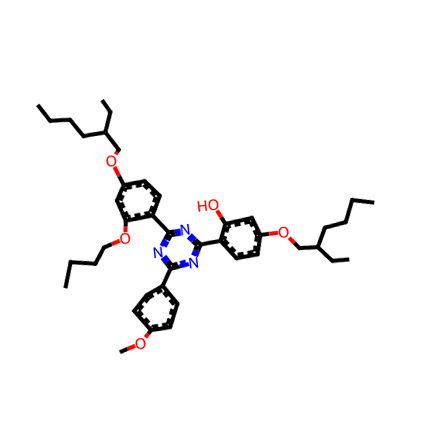 CCCCOc1cc(OCC(CC)CCCC)ccc1-c1nc(-c2ccc(OC)cc2)nc(-c2ccc(OCC(CC)CCCC)cc2O)n1